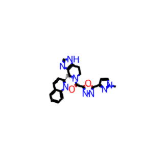 Cn1ccc(-c2nnc(C(=O)N3CCc4[nH]cnc4[C@H]3c3ccc4ccccc4n3)o2)n1